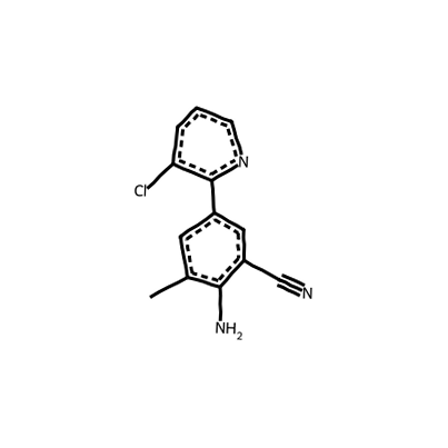 Cc1cc(-c2ncccc2Cl)cc(C#N)c1N